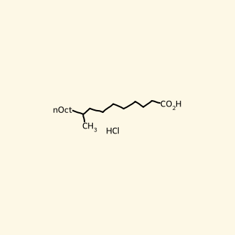 CCCCCCCCC(C)CCCCCCCC(=O)O.Cl